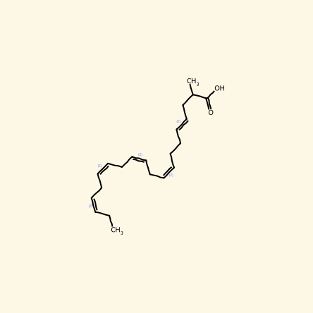 CC/C=C\C/C=C\C/C=C\C/C=C\CC/C=C/CC(C)C(=O)O